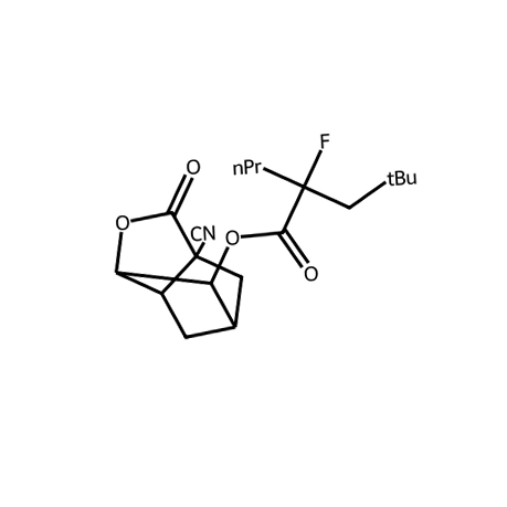 CCCC(F)(CC(C)(C)C)C(=O)OC1C2CC3C1OC(=O)C3(C#N)C2